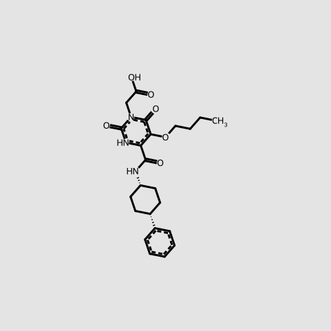 CCCCOc1c(C(=O)N[C@H]2CC[C@@H](c3ccccc3)CC2)[nH]c(=O)n(CC(=O)O)c1=O